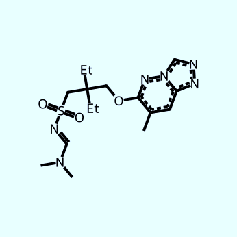 CCC(CC)(COc1nn2cnnc2cc1C)CS(=O)(=O)N=CN(C)C